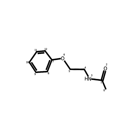 CC(=O)NCCOc1cc[c]cc1